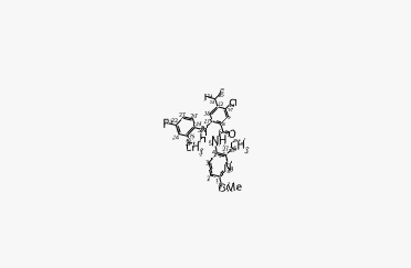 COc1ccc(NC(=O)c2cc(Cl)c(C(F)F)cc2Nc2ccc(F)cc2C)c(C)n1